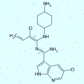 C=C/C(Cl)=C(\N=C(/N)c1c[nH]c2ncc(Cl)cc12)NC1CCC(N)CC1